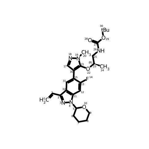 C=Cc1nn(C2CCCCO2)c2cc(F)c(-c3cnn(C)c3O[C@H](C)CNC(=O)OC(C)(C)C)cc12